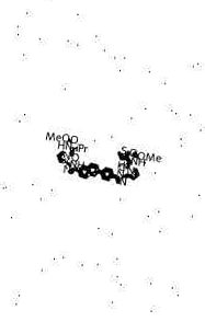 COC(=O)NC(C(=O)N1CCCC1c1ncc(-c2ccc(-c3ccc4cc(-c5cnc([C@@H]6CCCN6C(=O)[C@@H](NC(=O)OC)C(C)C)[nH]5)ccc4c3)cc2)[nH]1)c1ccsc1